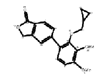 COc1ccc(-c2ccc3c(c2)COC3=O)c(OC[C]2CC2)c1OC